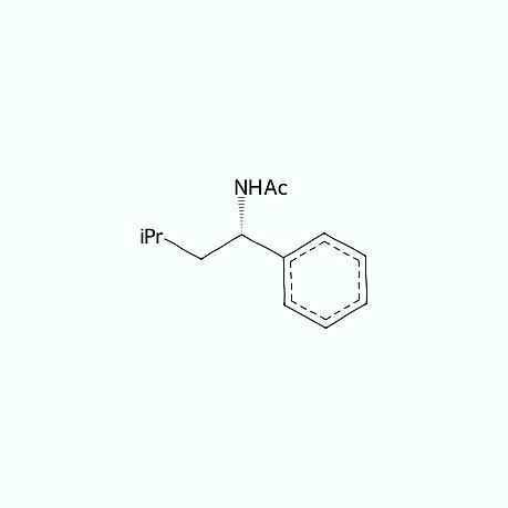 CC(=O)N[C@@H](CC(C)C)c1ccccc1